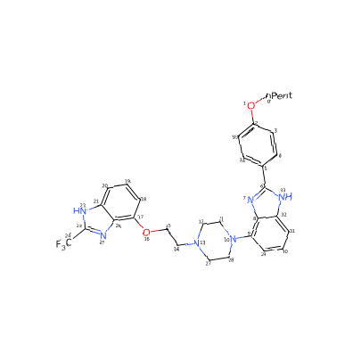 CCCCCOc1ccc(-c2nc3c(N4CCN(CCOc5cccc6[nH]c(C(F)(F)F)nc56)CC4)cccc3[nH]2)cc1